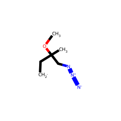 [CH2]CC(C)(CN=[N+]=[N-])OC